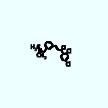 CN(C)Cc1cccc(C=CC(=O)c2ccc(Cl)cc2Cl)c1